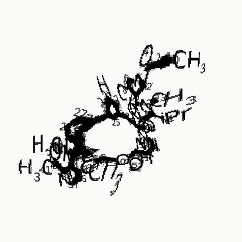 CC#CC(=O)N1C[C@H](C)[C@H](C(=O)N(C)[C@H](C(=O)N[C@H]2Cc3cccc(c3)-c3ccc4c(c3)c(c(-c3cccnc3[C@H](C)OC)n4C)CC(C)(C)COC(=O)[C@@H]3CCCN(N3)C2=O)C(C)C)C1